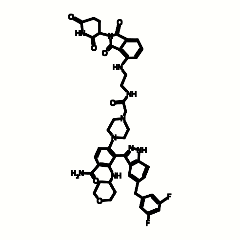 NC(=O)c1ccc(N2CCN(CC(=O)NCCNc3cccc4c3C(=O)N(C3CCC(=O)NC3=O)C4=O)CC2)c(-c2n[nH]c3ccc(Cc4cc(F)cc(F)c4)cc23)c1NC1CCOCC1